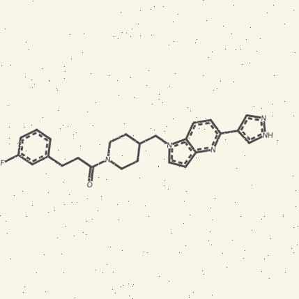 O=C(CCc1cccc(F)c1)N1CCC(Cn2ccc3nc(-c4cn[nH]c4)ccc32)CC1